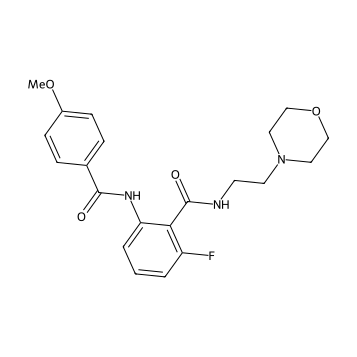 COc1ccc(C(=O)Nc2cccc(F)c2C(=O)NCCN2CCOCC2)cc1